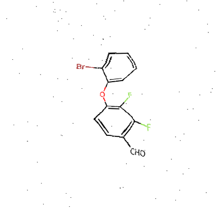 O=Cc1ccc(Oc2ccccc2Br)c(F)c1F